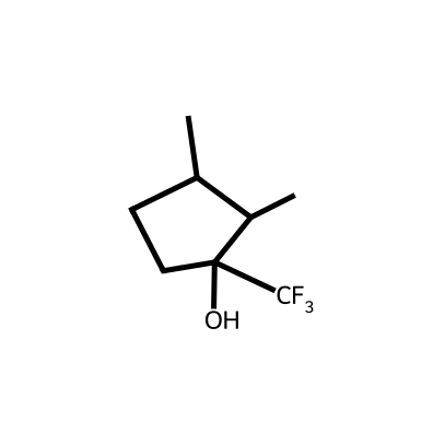 CC1CCC(O)(C(F)(F)F)C1C